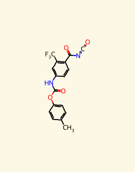 Cc1ccc(OC(=O)Nc2ccc(C(=O)N=C=O)c(C(F)(F)F)c2)cc1